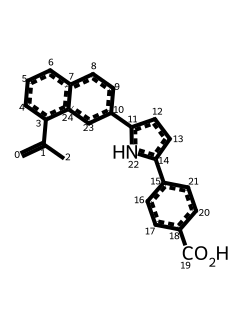 C=C(C)c1cccc2ccc(-c3ccc(-c4ccc(C(=O)O)cc4)[nH]3)cc12